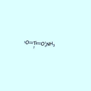 N.[O]=[Ti]=[O]